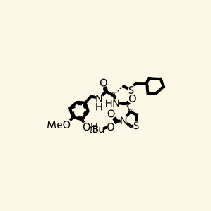 COc1ccc(CNC(=O)[C@H](CSCC2CCCCC2)NC(=O)[C@@H]2CSCN2C(=O)OC(C)(C)C)cc1O